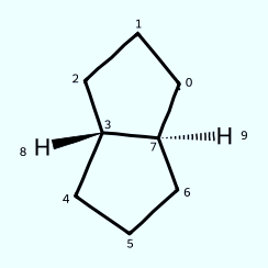 [CH]1CC[C@H]2CCC[C@H]12